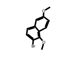 COc1ccc2c(OC)c(Br)ccc2c1